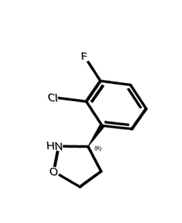 Fc1cccc([C@H]2CCON2)c1Cl